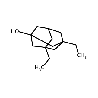 CCC12CC3CC(O)(C1)CC(CC)(C3)C2